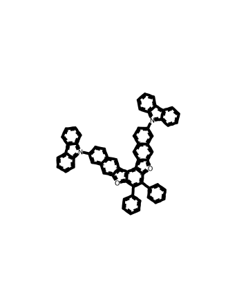 c1ccc(-c2c(-c3ccccc3)c3oc4cc5cc(-n6c7ccccc7c7ccccc76)ccc5cc4c3c3c2oc2cc4cc(-n5c6ccccc6c6ccccc65)ccc4cc23)cc1